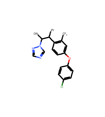 CC(C)C(c1ccc(Oc2ccc(Cl)cc2)cc1C(F)(F)F)C(N=O)n1cncn1